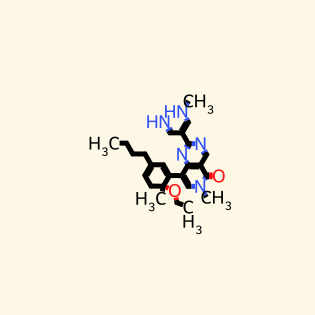 CCCCC1=CCC(C)(OCC)C(c2cn(C)c(=O)c3cnc(/C(C=N)=C/NC)nc23)=C1